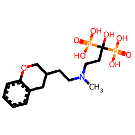 CN(CCC1COc2ccccc2C1)CCC(O)(P(=O)(O)O)P(=O)(O)O